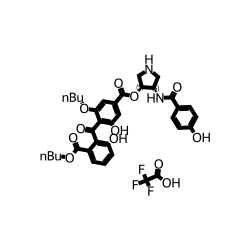 CCCCOC(=O)c1cccc(O)c1C(=O)c1c(O)cc(C(=O)O[C@H]2CNC[C@@H]2NC(=O)c2ccc(O)cc2)cc1OCCCC.O=C(O)C(F)(F)F